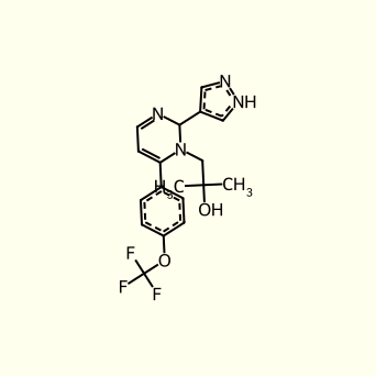 CC(C)(O)CN1C(c2ccc(OC(F)(F)F)cc2)=CC=NC1c1cn[nH]c1